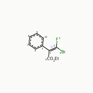 CCOC(=O)/C(=C(/F)Br)c1ccccc1